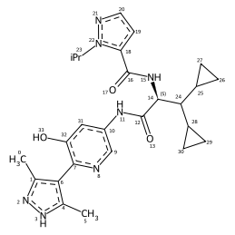 Cc1n[nH]c(C)c1-c1ncc(NC(=O)[C@@H](NC(=O)c2ccnn2C(C)C)C(C2CC2)C2CC2)cc1O